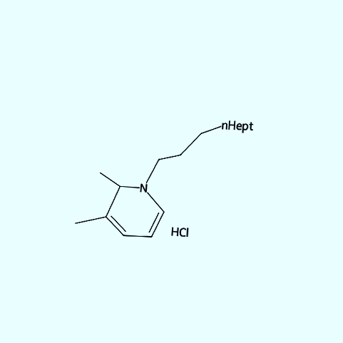 CCCCCCCCCCN1C=CC=C(C)C1C.Cl